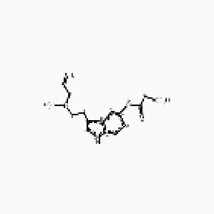 C=CCN(C)CCc1c[nH]c2ccc(OC(=O)CC(=O)O)cc12